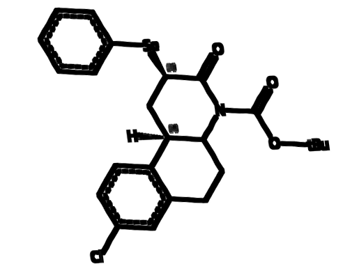 CC(C)(C)OC(=O)N1C(=O)[C@H]([Se]c2ccccc2)C[C@@H]2c3ccc(Cl)cc3CCC21